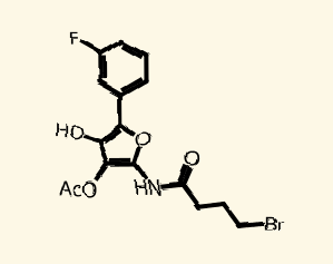 CC(=O)Oc1c(NC(=O)CCCBr)oc(-c2cccc(F)c2)c1O